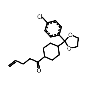 C=CCCC(=O)C1CCC(C2(c3ccc(Cl)cc3)OCCO2)CC1